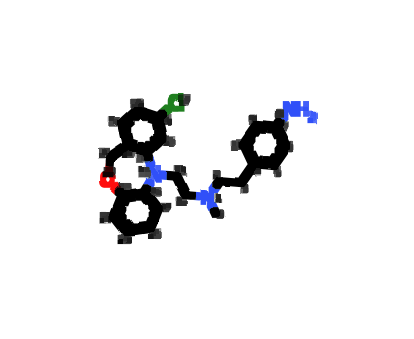 CN(CCc1ccc(N)cc1)CCN1c2cc(Cl)ccc2COc2ccccc21